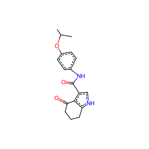 CC(C)Oc1ccc(NC(=O)c2c[nH]c3c2C(=O)CCC3)cc1